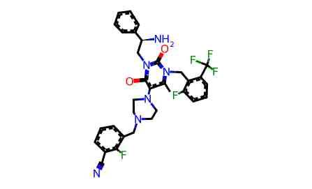 Cc1c(N2CCN(Cc3cccc(C#N)c3F)CC2)c(=O)n(C[C@H](N)c2ccccc2)c(=O)n1Cc1c(F)cccc1C(F)(F)F